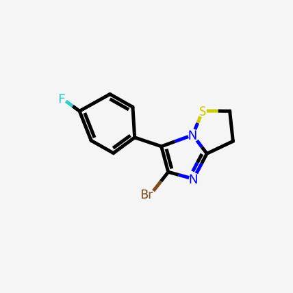 Fc1ccc(-c2c(Br)nc3n2SCC3)cc1